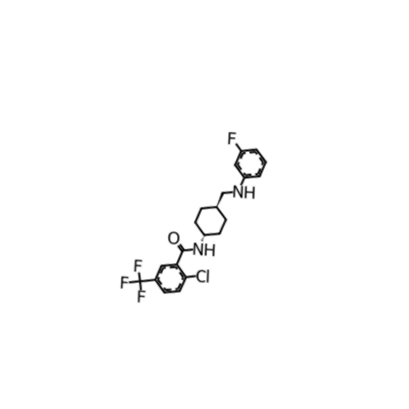 O=C(N[C@H]1CC[C@H](CNc2cccc(F)c2)CC1)c1cc(C(F)(F)F)ccc1Cl